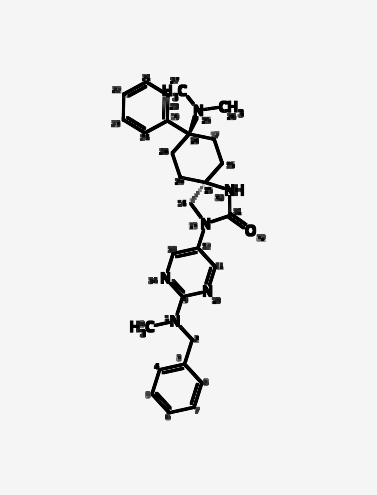 CN(Cc1ccccc1)c1ncc(N2C[C@]3(CC[C@](c4ccccc4)(N(C)C)CC3)NC2=O)cn1